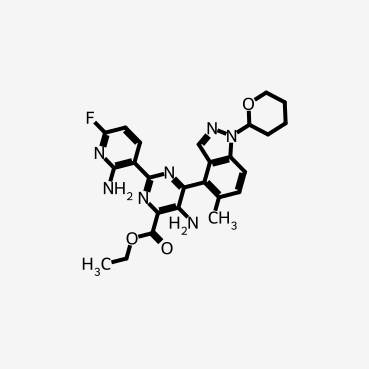 CCOC(=O)c1nc(-c2ccc(F)nc2N)nc(-c2c(C)ccc3c2cnn3C2CCCCO2)c1N